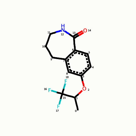 CC(Oc1ccc2c(c1)CCCNC2=O)C(F)(F)F